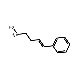 O[SiH2]CCC=Cc1ccccc1